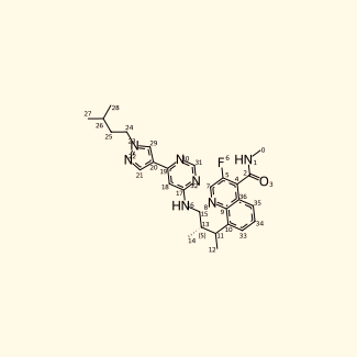 CNC(=O)c1c(F)cnc2c(C(C)[C@H](C)CNc3cc(-c4cnn(CCC(C)C)c4)ncn3)cccc12